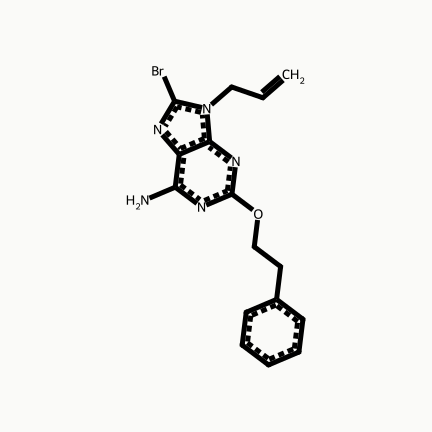 C=CCn1c(Br)nc2c(N)nc(OCCc3ccccc3)nc21